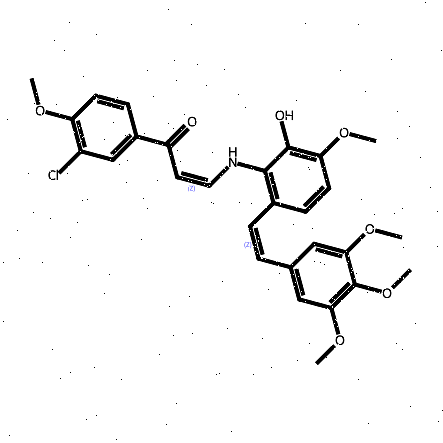 COc1ccc(C(=O)/C=C\Nc2c(/C=C\c3cc(OC)c(OC)c(OC)c3)ccc(OC)c2O)cc1Cl